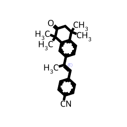 C/C(=C\c1ccc(C#N)cc1)c1ccc2c(c1)C(C)(C)C(=O)CC2(C)C